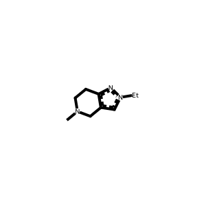 CCn1cc2c(n1)CCN(C)C2